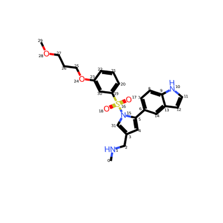 CNCc1cc(-c2ccc3[nH]ccc3c2)n(S(=O)(=O)c2cccc(OCCCOC)c2)c1